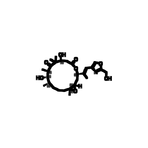 CC(=Cc1coc(CO)n1)[C@@H]1C[C@@H]2O[C@]2(C)CCC[C@H](C)[C@H](O)[C@@H](C)C(=O)C(C)(C)[C@@H](O)CC(=O)O1